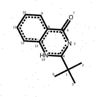 CC(C)(C)c1nc(=O)c2ccccc2[nH]1